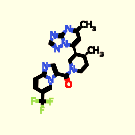 Cc1cc([C@@H]2CN(C(=O)c3cnc4ccc(C(F)(F)F)cn34)CC[C@H]2C)n2ncnc2n1